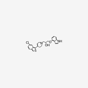 OC(COc1cccc2[nH]ccc12)CN1CC=C(c2scc3ccc(Cl)cc23)CC1